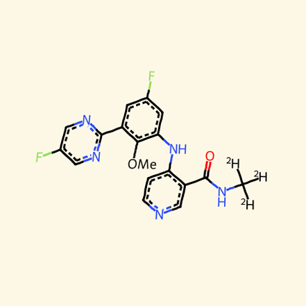 [2H]C([2H])([2H])NC(=O)c1cnccc1Nc1cc(F)cc(-c2ncc(F)cn2)c1OC